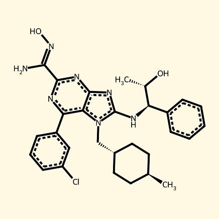 C[C@H](O)[C@H](Nc1nc2nc(/C(N)=N/O)nc(-c3cccc(Cl)c3)c2n1C[C@H]1CC[C@H](C)CC1)c1ccccc1